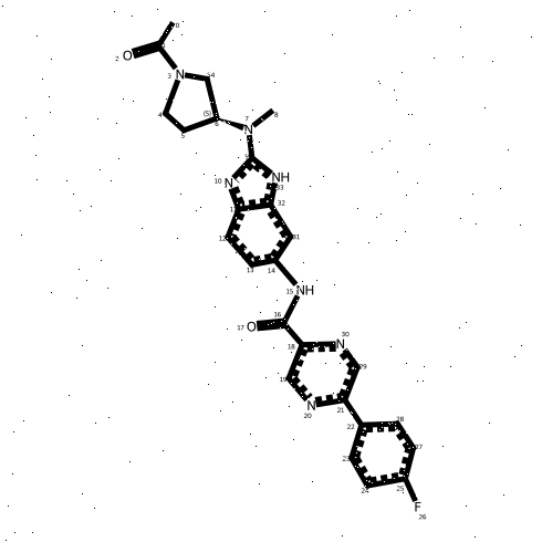 CC(=O)N1CC[C@H](N(C)c2nc3ccc(NC(=O)c4cnc(-c5ccc(F)cc5)cn4)cc3[nH]2)C1